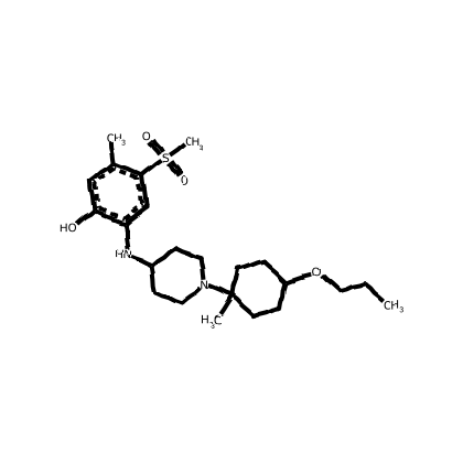 CCCOC1CCC(C)(N2CCC(Nc3cc(S(C)(=O)=O)c(C)cc3O)CC2)CC1